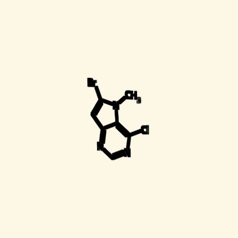 Cn1c(Br)cc2ncnc(Cl)c21